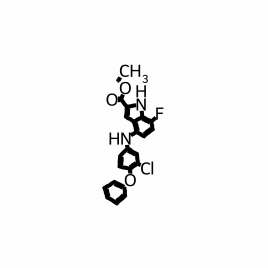 CCOC(=O)c1cc2c(Nc3ccc(Oc4ccccc4)c(Cl)c3)ccc(F)c2[nH]1